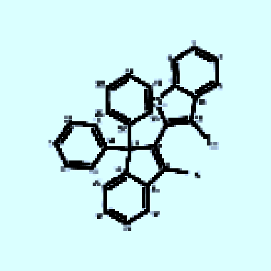 IC1=C(c2oc3ccccc3c2I)C(c2ccccc2)(c2ccccc2)c2ccccc21